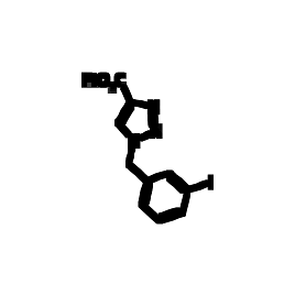 CCOC(=O)c1cn(Cc2cccc(I)c2)nn1